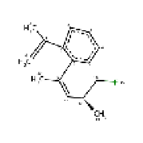 C=C(C)c1ccccc1/C(C)=C\[C@H](C)CF